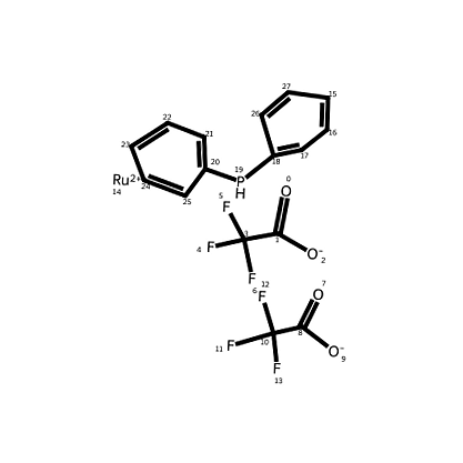 O=C([O-])C(F)(F)F.O=C([O-])C(F)(F)F.[Ru+2].c1ccc(Pc2ccccc2)cc1